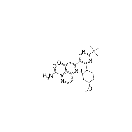 COC1CCC(c2nc(C(C)(C)C)ncc2-c2cc(=O)c3c(C(N)=O)nccc3[nH]2)CC1